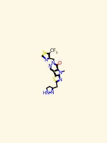 Cn1c2nc(CC3=NNCC3)sc2c2cnn(Cc3ncsc3C(F)(F)F)c(=O)c21